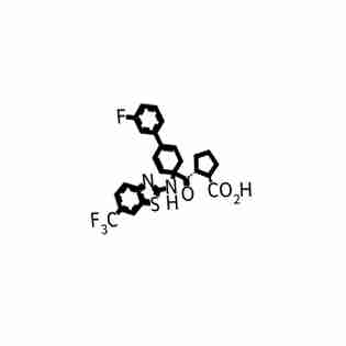 O=C(O)[C@@H]1CCC[C@H]1C(=O)C1(Nc2nc3ccc(C(F)(F)F)cc3s2)C=CC(c2cccc(F)c2)=CC1